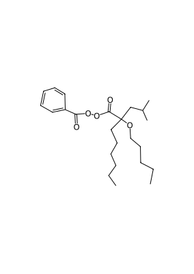 CCCCCCC(CC(C)C)(OCCCCC)C(=O)OOC(=O)c1ccccc1